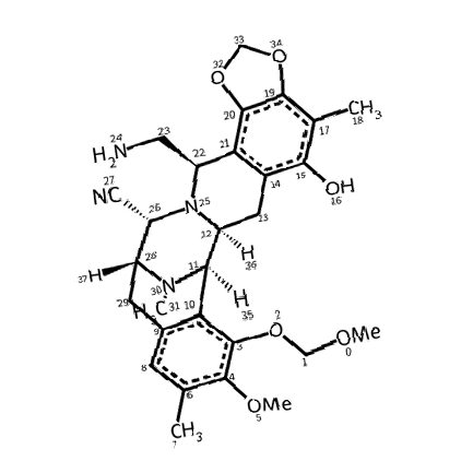 COCOc1c(OC)c(C)cc2c1[C@@H]1[C@@H]3Cc4c(O)c(C)c5c(c4[C@H](CN)N3[C@@H](C#N)[C@@H](C2)N1C)OCO5